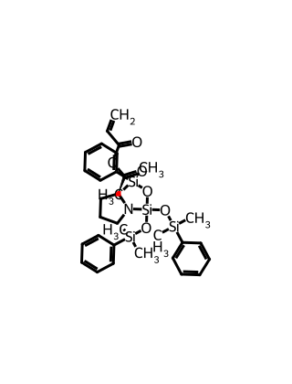 C=CC(=O)OC(=O)[C@@H]1CCCN1[Si](O[Si](C)(C)c1ccccc1)(O[Si](C)(C)c1ccccc1)O[Si](C)(C)c1ccccc1